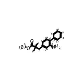 CC(C)(C)OC(=O)C(C)(C)Cc1ccc(-c2ccccc2)c(N)c1